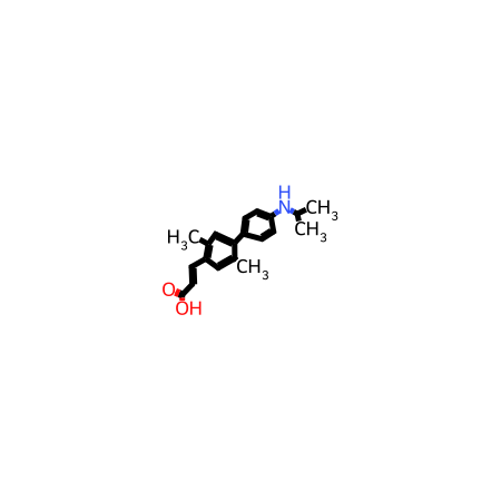 Cc1cc(-c2ccc(NC(C)C)cc2)c(C)cc1/C=C/C(=O)O